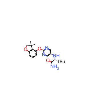 CC1(C)COc2cccc(Oc3ncc(N[C@@H](C(N)=O)C(C)(C)C)cn3)c21